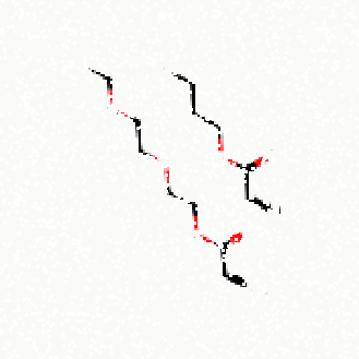 C=CC(=O)OCCCC.C=CC(=O)OCCOCCOCC